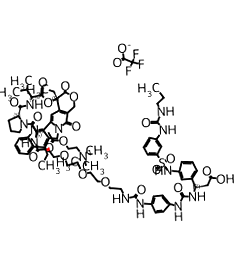 CCCNC(=O)Nc1cccc(S(=O)(=O)Nc2cccc([C@@H](CC(=O)O)NC(=O)Nc3ccc(NC(=O)NCCOCCOCCOCCC(=O)N[C@@H](CC(=O)OCC[N+](C)(C)C)C(=O)N4CCC[C@H]4C(=O)N[C@H](C(=O)O[C@]4(CC)C(=O)OCc5c4cc4n(c5=O)Cc5c-4nc4ccccc4c5CC)C(C)C)cc3)c2)c1.O=C([O-])C(F)(F)F